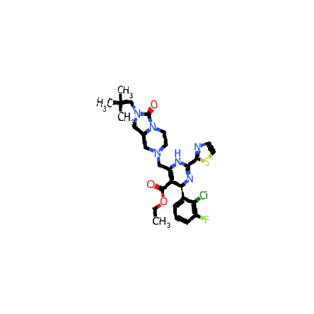 CCOC(=O)C1=C(CN2CCN3C(=O)N(CC(C)(C)C)CC3C2)NC(c2nccs2)=N[C@H]1c1cccc(F)c1Cl